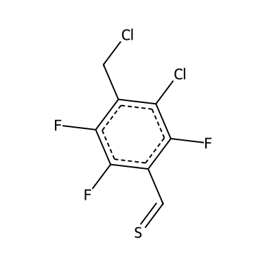 Fc1c(F)c(CCl)c(Cl)c(F)c1C=S